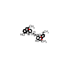 COc1ccc2c3c1O[C@H]1C(=NOC(=O)O[C@H]4C=CC5C6Cc7ccc(O)c8c7[C@@]5(CCN6C)[C@H]4O8)CC[C@@]4(O)C(C2)N(C)CC[C@]314